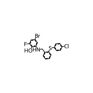 Oc1c(F)cc(Br)cc1NCc1ccccc1Sc1ccc(Cl)cc1